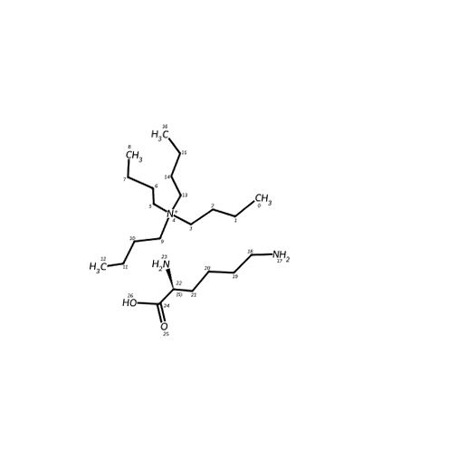 CCCC[N+](CCCC)(CCCC)CCCC.NCCCC[C@H](N)C(=O)O